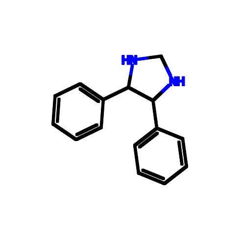 c1ccc(C2NCNC2c2ccccc2)cc1